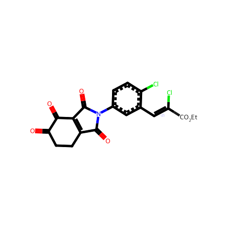 CCOC(=O)/C(Cl)=C/c1cc(N2C(=O)C3=C(C(=O)C(=O)CC3)C2=O)ccc1Cl